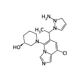 CC(c1cc(Cl)c2cncn2c1N1CCC[C@H](O)C1)N1C=CCN1N